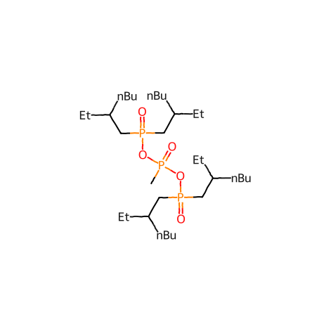 CCCCC(CC)CP(=O)(CC(CC)CCCC)OP(C)(=O)OP(=O)(CC(CC)CCCC)CC(CC)CCCC